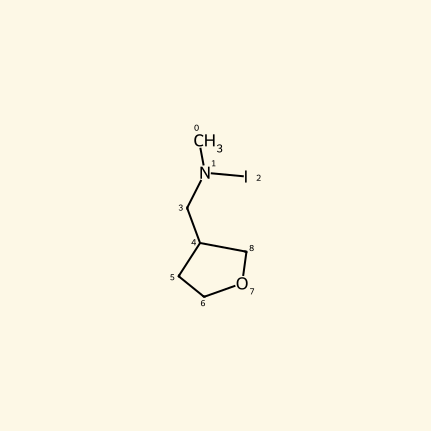 CN(I)CC1CCOC1